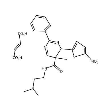 CN(C)CCNC(=O)C1(C)C=NC(c2ccccc2)=NC1c1ccc([N+](=O)[O-])s1.O=C(O)C=CC(=O)O